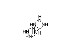 C1CNCCNCCCN(CC2CNCCCNCCNCCCN2)CCNC1